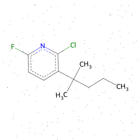 CCCC(C)(C)c1ccc(F)nc1Cl